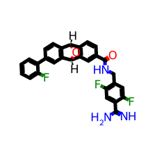 N=C(N)c1cc(F)c(CNC(=O)c2ccc3c(c2)[C@@H]2O[C@H]3c3ccc(-c4ccccc4F)cc32)cc1F